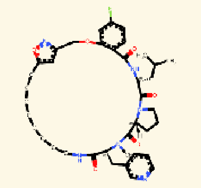 CC(C)C[C@H]1NC(=O)c2ccc(F)cc2OCc2cc(on2)CCCCCCCCNC(=O)[C@H](Cc2cccnc2)N(C)C(=O)[C@H]2CCCN2C1=O